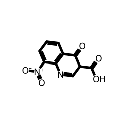 O=C(O)C1C=Nc2c(cccc2[N+](=O)[O-])C1=O